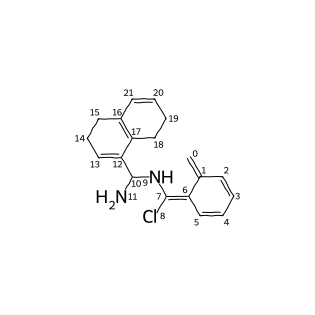 C=c1cccc/c1=C(\Cl)NC(N)C1=CCCC2=C1CCC=C2